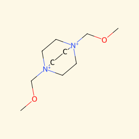 COC[N+]12CC[N+](COC)(CC1)CC2